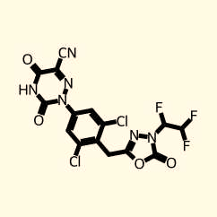 N#Cc1nn(-c2cc(Cl)c(Cc3nn(C(F)C(F)F)c(=O)o3)c(Cl)c2)c(=O)[nH]c1=O